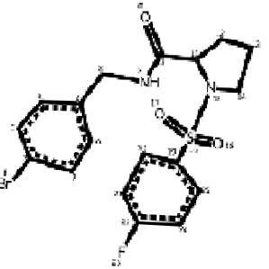 O=C(NCc1ccc(Br)cc1)C1CCCN1S(=O)(=O)c1ccc(F)cc1